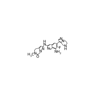 CN1CCc2cc(Nc3cc4cc(-c5cnn6c5CNCC6)c(F)c(N)c4cn3)nn2CC1=O